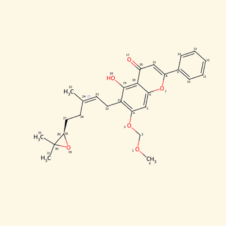 COCOc1cc2oc(-c3ccccc3)cc(=O)c2c(O)c1C/C=C(/C)CC[C@H]1OC1(C)C